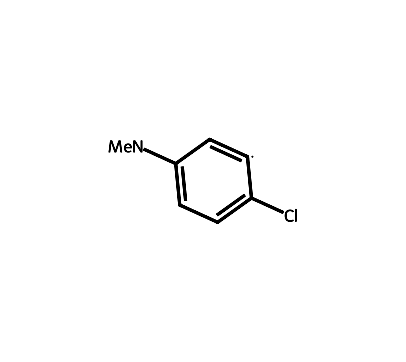 CNc1c[c]c(Cl)cc1